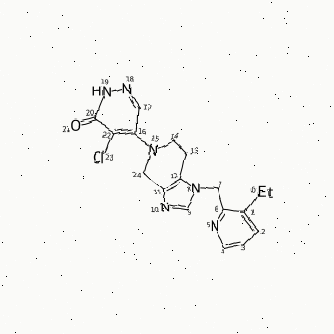 CCc1cccnc1Cn1cnc2c1CCN(c1cn[nH]c(=O)c1Cl)C2